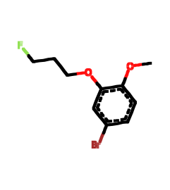 COc1ccc(Br)cc1OCCCF